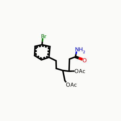 CC(=O)OCC(CCc1cccc(Br)c1)C(CC(N)=O)OC(C)=O